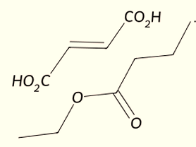 O=C(O)/C=C/C(=O)O.[CH2]CCC(=O)OCC